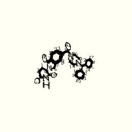 O=C1CCC(N2Cc3cc(C(=O)N4CCN(C(c5ccccc5)c5ccccc5)CC4)ccc3C2=O)C(=O)N1